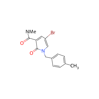 CNC(=O)c1cc(Br)cn(Cc2ccc(C)cc2)c1=O